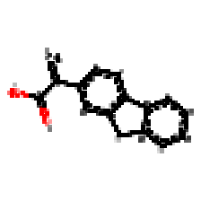 C=C(C(=O)O)c1ccc2c(c1)Cc1ccccc1-2